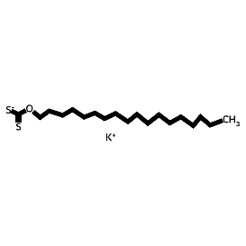 CCCCCCCCCCCCCCCCCCOC(=S)[S-].[K+]